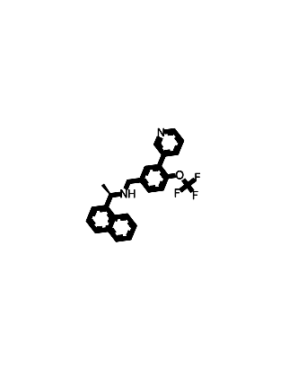 C[C@@H](NCc1ccc(OC(F)(F)F)c(-c2cccnc2)c1)c1cccc2ccccc12